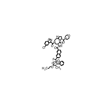 CCCOC(=O)[C@H](C)NP(=O)(Oc1ccccc1)C(F)c1ccc2ccc(C(=O)N[C@H]3CN(C(=O)c4noc5ccc(Cl)cc45)CC[C@H]4CC[C@@H](C(=O)N5CCOCC5)N4C3=O)cc2c1